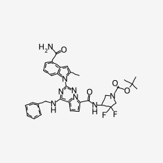 Cc1cc2c(C(N)=O)cccc2n1-c1nc(NCc2ccccc2)c2ccc(C(=O)NC3CN(C(=O)OC(C)(C)C)CC3(F)F)n2n1